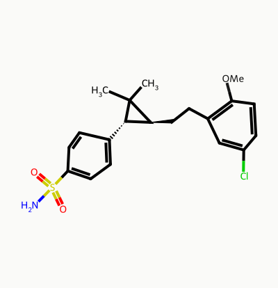 COc1ccc(Cl)cc1CC[C@H]1[C@H](c2ccc(S(N)(=O)=O)cc2)C1(C)C